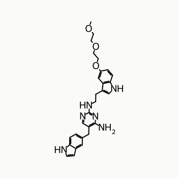 COCCOCCOc1ccc2[nH]cc(CCNc3ncc(Cc4ccc5[nH]ccc5c4)c(N)n3)c2c1